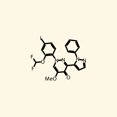 COc1cn(-c2ccc(I)cc2OC(F)F)nc(-c2ccnn2-c2ccccc2)c1=O